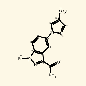 CC(C)n1nc(C(N)=O)c2cc(-n3cc(C(=O)O)cn3)ccc21